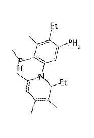 CCc1c(P)cc(N2C(C)=CC(C)=C(C)C2CC)c(PC)c1C